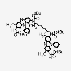 CC1=CC2=Nc3ccc(N(CCCCCCCCN(C(=O)OC(C)(C)C)c4cc5c(cc4C)nc4cc(C)c(NC(=O)OC(C)(C)C)cc4[n+]5-c4ccccc4)C(=O)OC(C)(C)C)c(C)c3N(c3ccccc3)C2C=C1NC(=O)OC(C)(C)C